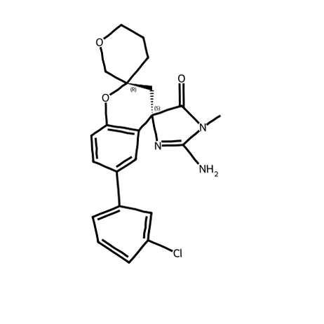 CN1C(=O)[C@@]2(C[C@@]3(CCCOC3)Oc3ccc(-c4cccc(Cl)c4)cc32)N=C1N